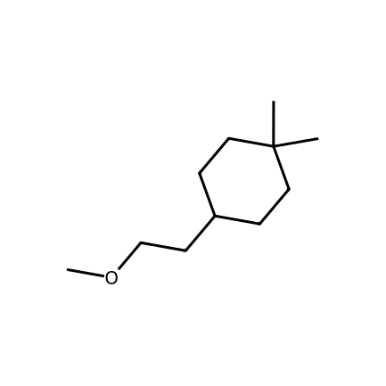 COCCC1CCC(C)(C)CC1